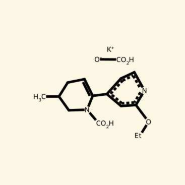 CCOc1cc(C2=CCC(C)CN2C(=O)O)ccn1.O=C([O-])O.[K+]